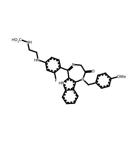 COc1ccc(CN2C(=O)CN=C(c3ccc(NCCNC(=O)O)cc3F)c3[nH]c4ccccc4c32)cc1